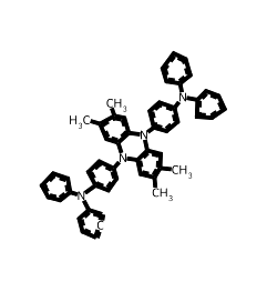 Cc1cc2c(cc1C)N(c1ccc(N(c3ccccc3)c3ccccc3)cc1)c1cc(C)c(C)cc1N2c1ccc(N(c2ccccc2)c2ccccc2)cc1